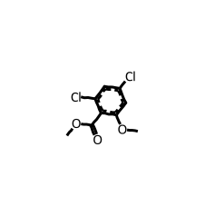 COC(=O)c1c(Cl)cc(Cl)cc1OC